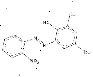 CCC(C)c1cc(C(C)(C)C)cc(/N=N/c2ccccc2[N+](=O)[O-])c1O